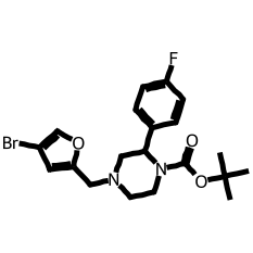 CC(C)(C)OC(=O)N1CCN(Cc2cc(Br)co2)CC1c1ccc(F)cc1